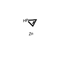 C1=CP1.[Zn]